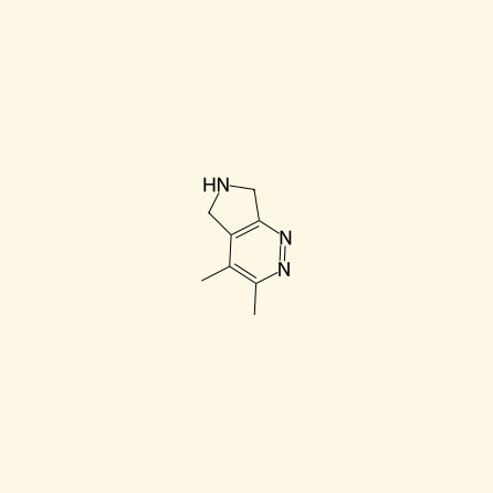 Cc1nnc2c(c1C)CNC2